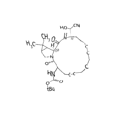 CC(C)(C)OC(=O)NC1CCCCCCCCCC[C@@H](C(O)C#N)NC(=O)[C@@H]2C3C(CN2C1=O)C3(C)C